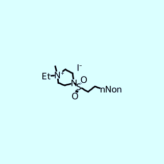 CCCCCCCCCCCS(=O)(=O)N1CC[N+](C)(CC)CC1.[I-]